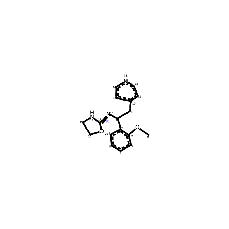 COc1ccccc1C(Cc1ccncc1)/N=C1/NCCO1